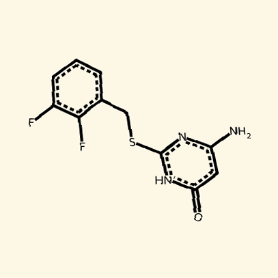 Nc1cc(=O)[nH]c(SCc2cccc(F)c2F)n1